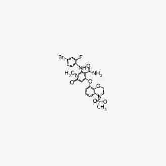 Cn1c(Nc2ccc(Br)cc2F)c(C(N)=O)c(Oc2cccc3c2OCCN3S(C)(=O)=O)cc1=O